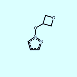 c1cnn(OC2COC2)c1